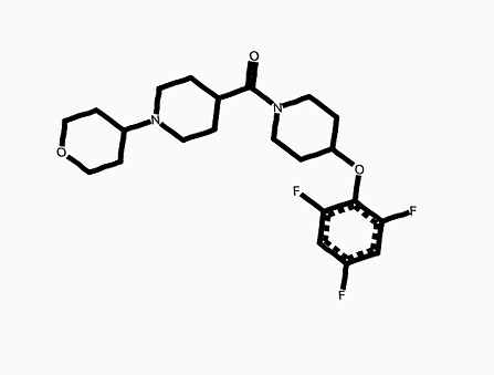 O=C(C1CCN(C2CCOCC2)CC1)N1CCC(Oc2c(F)cc(F)cc2F)CC1